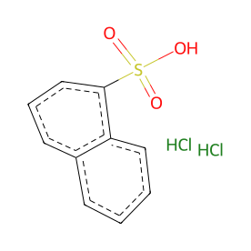 Cl.Cl.O=S(=O)(O)c1cccc2ccccc12